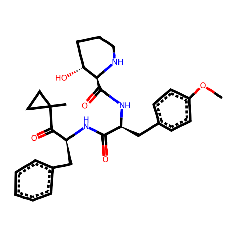 COc1ccc(C[C@H](NC(=O)[C@@H]2NCCC[C@H]2O)C(=O)N[C@@H](Cc2ccccc2)C(=O)C2(C)CC2)cc1